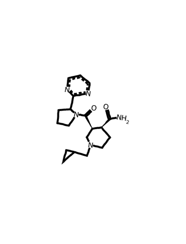 NC(=O)[C@H]1CCN(CC2CC2)C[C@H]1C(=O)N1CCCC1c1ncccn1